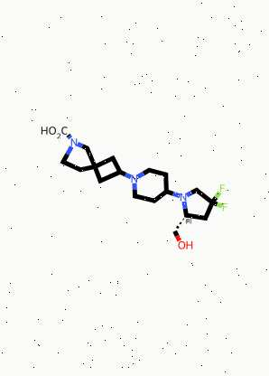 O=C(O)N1CCC2(CC(N3CCC(N4CC(F)(F)C[C@@H]4CO)CC3)C2)C1